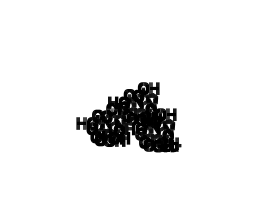 O=C(O)c1cccnc1-c1nc(C(=O)O)c(C(=O)O)c(C(=O)O)c1C(=O)O.O=C(O)c1cccnc1-c1nc(C(=O)O)c(C(=O)O)c(C(=O)O)c1C(=O)O.O=C(O)c1cccnc1-c1nc(C(=O)O)c(C(=O)O)c(C(=O)O)c1C(=O)O.[Eu]